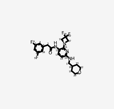 O=C(Cc1cc(F)cc(F)c1)Nc1ccc(NCC2CCOCC2)nc1N1CC(F)(F)C1